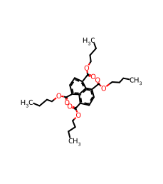 CCCCOC(=O)c1ccc(C(=O)OCCCC)c2c(C(=O)OCCCC)ccc(C(=O)OCCCC)c12